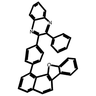 c1ccc(-c2nc3ccccc3nc2-c2ccc(-c3cccc4ccc5c6ccccc6oc5c34)cc2)cc1